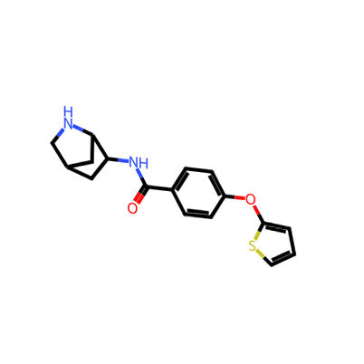 O=C(NC1CC2CNC1C2)c1ccc(Oc2cccs2)cc1